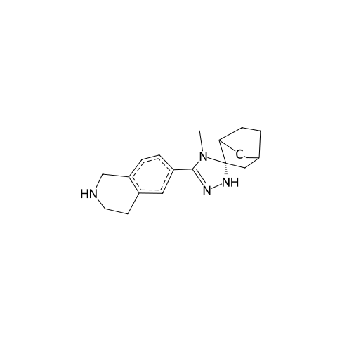 CN1C(c2ccc3c(c2)CCNC3)=NN[C@]12CC1CCC2CC1